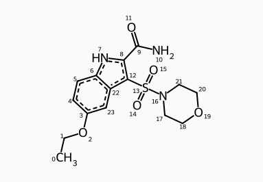 CCOc1ccc2[nH]c(C(N)=O)c(S(=O)(=O)N3CCOCC3)c2c1